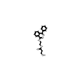 O=C(CCO)OCCOC(=O)c1ccccc1C(=O)c1ccccc1